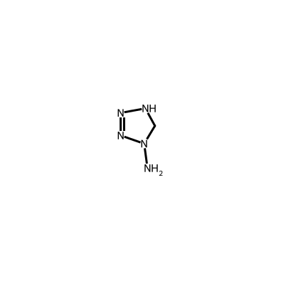 NN1CNN=N1